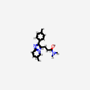 Cc1ccc(-c2nc3ccc(C)cn3c2CCC(=O)N(C)C)cc1